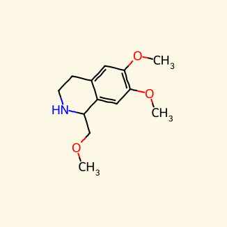 COCC1NCCc2cc(OC)c(OC)cc21